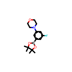 CC1(C)OB(c2cc(F)cc(N3CCOCC3)c2)OC1(C)C